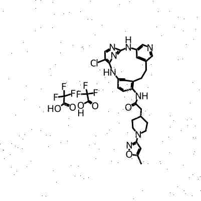 Cc1cc(N2CCC(CC(=O)Nc3ccc4cc3CCc3cncc(c3)Nc3ncc(Cl)c(n3)N4)CC2)no1.O=C(O)C(F)(F)F.O=C(O)C(F)(F)F